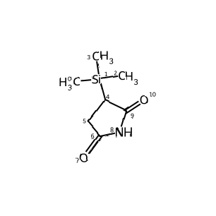 C[Si](C)(C)C1CC(=O)NC1=O